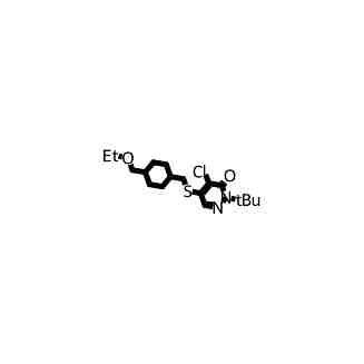 CCOCC1CCC(CSc2cnn(C(C)(C)C)c(=O)c2Cl)CC1